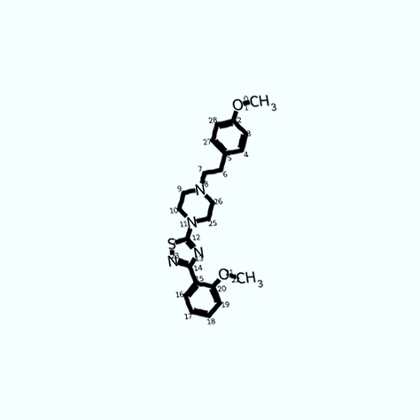 COc1ccc(CCN2CCN(c3nc(-c4ccccc4OC)ns3)CC2)cc1